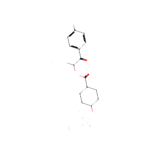 CCOC(=O)C(OC(=O)C1CCC(O[Si](C)(C)C(C)(C)C)CC1)C(=O)c1ccc(Br)cc1